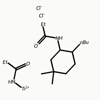 CCC(=O)[NH][Ti+2].CCCCC1CCC(C)(C)CC1NC(=O)CC.[Cl-].[Cl-]